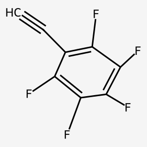 C#Cc1c(F)c(F)c(F)c(F)c1F